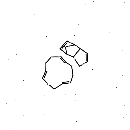 C1=C/CC/C=C/CC/C=C/CC/1.C1=CC2C3C=CC(C3)C2C1